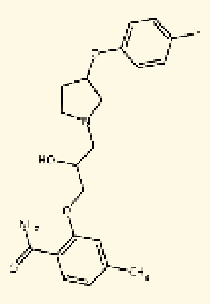 Cc1ccc(C(N)=O)c(OCC(O)CN2CCC(Oc3ccc(F)cc3)C2)c1